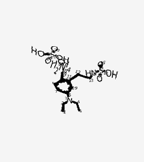 C.CCN(CC)c1ccc(N)c(CCNS(=O)(=O)O)c1.O=S(=O)(O)O